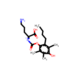 CCCCc1c(C)c(O)c(C)c(C)c1OC(=O)/N=C(/CCCN)C(=O)O